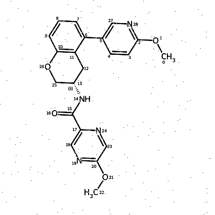 COc1ccc(-c2cccc3c2C[C@H](NC(=O)c2cnc(OC)cn2)CO3)cn1